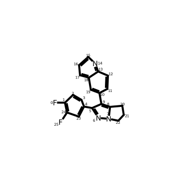 Fc1ccc(-c2nn3c(c2-c2ccc4ncccc4c2)CCC3)cc1F